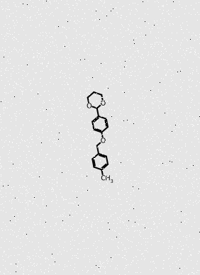 Cc1ccc(COc2ccc(C3OCCCO3)cc2)cc1